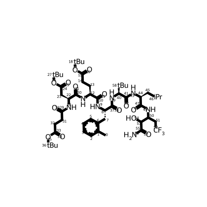 Cc1ccccc1C[C@H](NC(=O)[C@H](CCC(=O)OC(C)(C)C)NC(=O)[C@H](CC(=O)OC(C)(C)C)NC(=O)CCC(=O)OC(C)(C)C)C(=O)N[C@H](C(=O)N[C@@H](CC(C)C)C(=O)NC(CC(F)(F)F)C(O)C(N)=O)C(C)(C)C